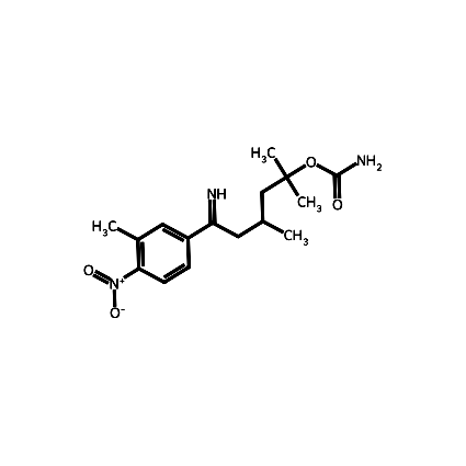 Cc1cc(C(=N)CC(C)CC(C)(C)OC(N)=O)ccc1[N+](=O)[O-]